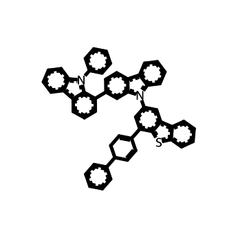 C1=CC(c2ccccc2)CC=C1c1cc(-n2c3ccccc3c3ccc(-c4cccc5c6ccccc6n(-c6ccccc6)c45)cc32)cc2c1sc1ccccc12